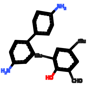 CC(C)(C)c1cc(C=O)c(O)c(C(C)(C)C)c1.Nc1ccc(-c2ccc(N)cc2)cc1